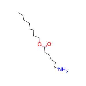 CCCCCCCCOC(=O)CCCCCN